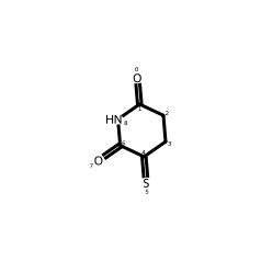 O=C1CCC(=S)C(=O)N1